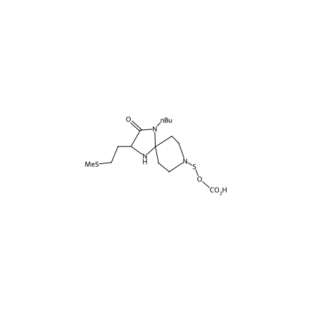 CCCCN1C(=O)C(CCSC)NC12CCN(SOC(=O)O)CC2